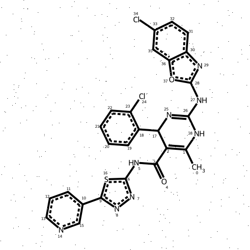 CC1=C(C(=O)Nc2nnc(-c3cccnc3)s2)C(c2ccccc2Cl)N=C(Nc2nc3ccc(Cl)cc3o2)N1